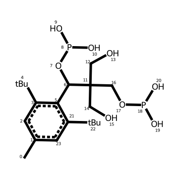 Cc1cc(C(C)(C)C)c(C(OP(O)O)C(CO)(CO)COP(O)O)c(C(C)(C)C)c1